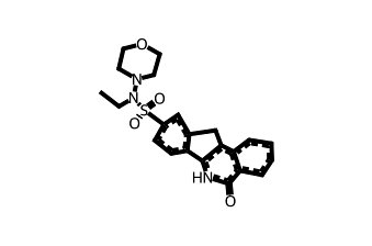 CCN(N1CCOCC1)S(=O)(=O)c1ccc2c(c1)Cc1c-2[nH]c(=O)c2ccccc12